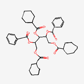 O=C(OC(COC(=O)C1CCCCC1)C(OC(=O)C1CCCCC1)C(COC(=O)C1CCCCC1)OC(=O)c1ccccc1)c1ccccc1